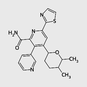 CC1CCC(c2cc(-c3nccs3)nc(C(N)=O)c2-c2cccnc2)OC1C